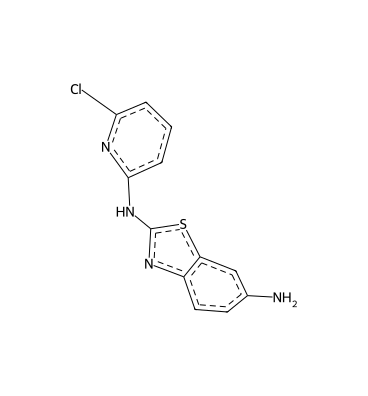 Nc1ccc2nc(Nc3cccc(Cl)n3)sc2c1